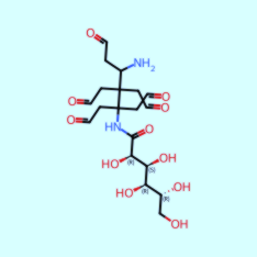 NC(CC=O)C(CC=O)(CC=O)C(CC=O)(CC=O)NC(=O)[C@H](O)[C@@H](O)[C@H](O)[C@H](O)CO